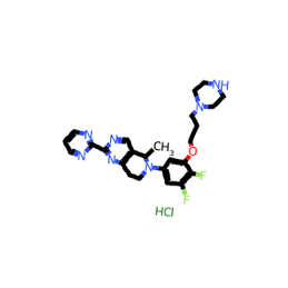 CC1c2cnc(-c3ncccn3)nc2CCN1c1cc(F)c(F)c(OCCCN2CCNCC2)c1.Cl